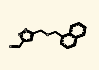 O=Cc1cc(COCc2cccc3ccccc23)on1